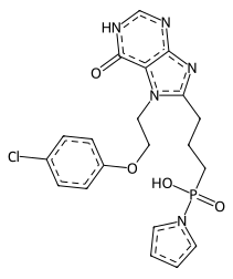 O=c1[nH]cnc2nc(CCCP(=O)(O)n3cccc3)n(CCOc3ccc(Cl)cc3)c12